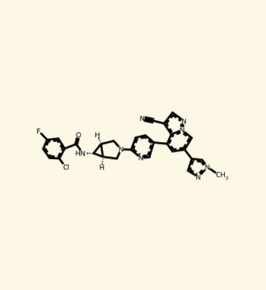 Cn1cc(-c2cc(-c3ccc(N4C[C@@H]5[C@H](C4)[C@H]5NC(=O)c4cc(F)ccc4Cl)nc3)c3c(C#N)cnn3c2)cn1